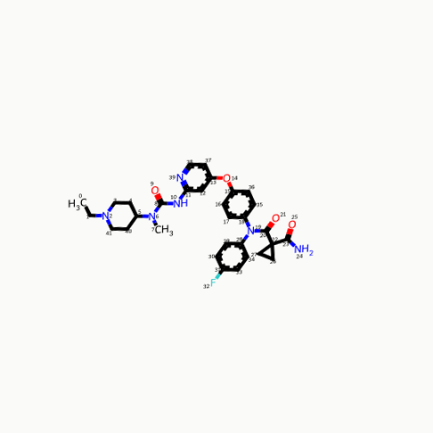 CCN1CCC(N(C)C(=O)Nc2cc(Oc3ccc(N(C(=O)C4(C(N)=O)CC4)c4ccc(F)cc4)cc3)ccn2)CC1